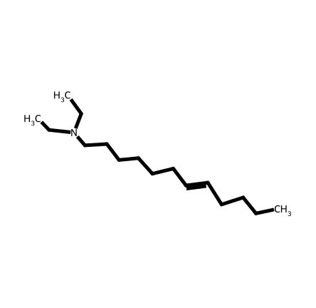 CCCCC=CCCCCCCN(CC)CC